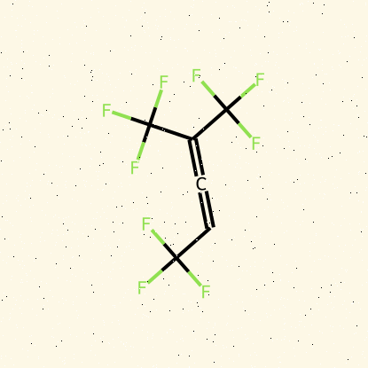 FC(F)(F)C=C=C(C(F)(F)F)C(F)(F)F